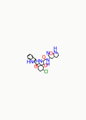 COC1C(C(=O)NC(C#N)C[C@@H]2CCCNC2=O)NC(C(=O)c2cc3ccccc3[nH]2)C12CCCC(Cl)C2